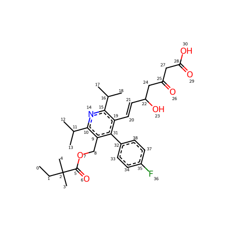 CCC(C)(C)C(=O)OCc1c(C(C)C)nc(C(C)C)c(/C=C/C(O)CC(=O)CC(=O)O)c1-c1ccc(F)cc1